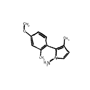 COc1ccc(-c2c(C)ccn2N)c(C)c1